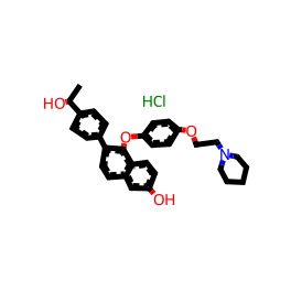 CC(O)c1ccc(-c2ccc3cc(O)ccc3c2Oc2ccc(OCCN3CCCCC3)cc2)cc1.Cl